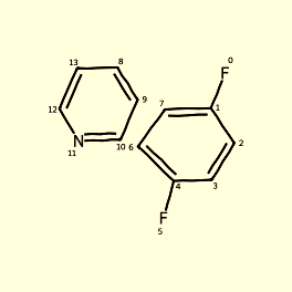 Fc1ccc(F)cc1.c1ccncc1